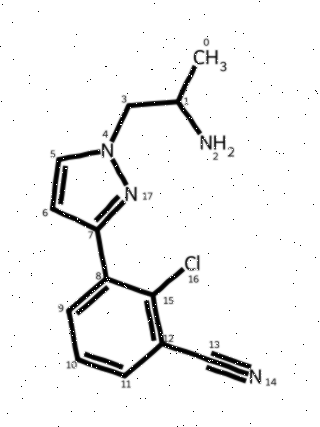 CC(N)Cn1ccc(-c2cccc(C#N)c2Cl)n1